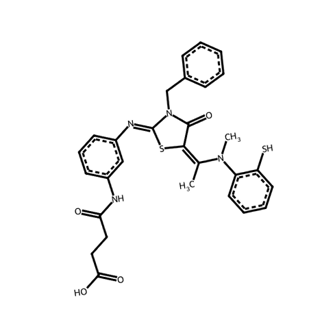 C/C(=C1\SC(=Nc2cccc(NC(=O)CCC(=O)O)c2)N(Cc2ccccc2)C1=O)N(C)c1ccccc1S